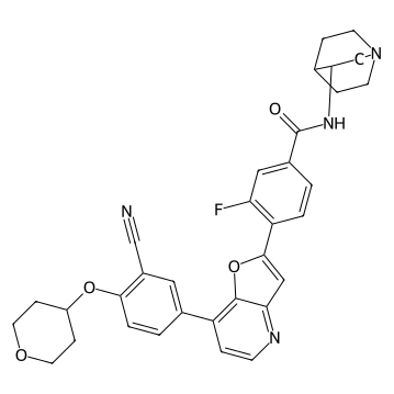 N#Cc1cc(-c2ccnc3cc(-c4ccc(C(=O)NC5CN6CCC5CC6)cc4F)oc23)ccc1OC1CCOCC1